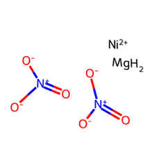 O=[N+]([O-])[O-].O=[N+]([O-])[O-].[MgH2].[Ni+2]